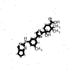 Cc1cc(Nc2ncc3c(n2)CCC3)cc(-c2cnc(C3(O)CCC(C(=O)O)C(C)(C)C3)s2)c1